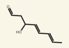 C/C=C/C=C/C(O)CC=O